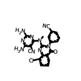 CN(c1nc(N)nc(N)c1C#N)c1nc2c(Cl)cccc2c(=O)n1-c1cccc(C#N)c1